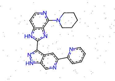 c1ccc(-c2cc3c(-c4nc5c(N6CCCCC6)nccc5[nH]4)n[nH]c3cn2)nc1